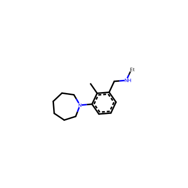 CCNCc1cccc(N2CCCCCC2)c1C